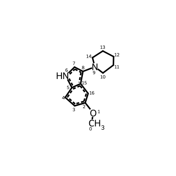 COc1ccc2[nH]cc(N3CCCCC3)c2c1